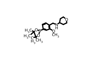 COc1cc(B2OC(C)(C)C(C)(C)O2)ccc1CNC1CCOCC1